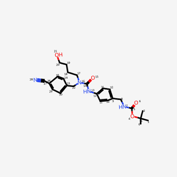 CC(C)(C)OC(=O)NCc1ccc(NC(=O)N(CCCCO)Cc2ccc(C#N)cc2)cc1